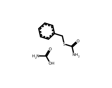 NC(=O)O.NC(=O)SCc1ccccc1